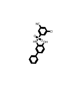 N#Cc1cc(Cl)cc(S(=O)(=O)Nc2cc(-c3ccccc3)ccc2O)c1